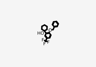 OC1(c2cc(C(F)(F)F)ccc2OCc2ccccc2)CCCCC1